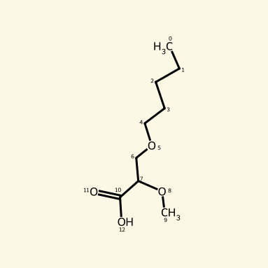 CCCCCOCC(OC)C(=O)O